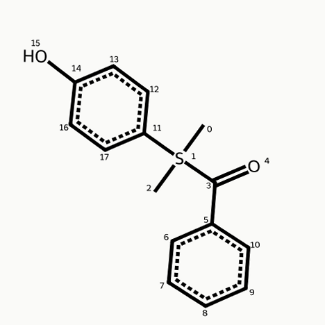 CS(C)(C(=O)c1ccccc1)c1ccc(O)cc1